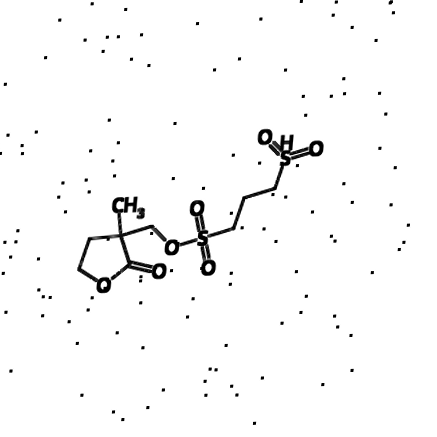 CC1(COS(=O)(=O)CCC[SH](=O)=O)CCOC1=O